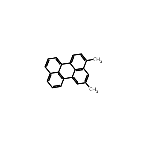 Cc1cc2c(C)ccc3c4cccc5cccc(c(c1)c23)c54